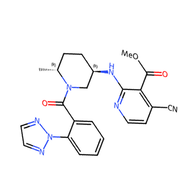 COC(=O)c1c(C#N)ccnc1N[C@@H]1CC[C@@H](C)N(C(=O)c2ccccc2-n2nccn2)C1